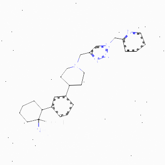 NC1(C(=O)O)CCCCC1c1cccc(C2CCN(Cc3cn(Cc4ccccn4)nn3)CC2)c1